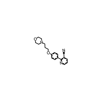 N#Cc1cccnc1-c1ccc(OCCCN2CCOCC2)cc1